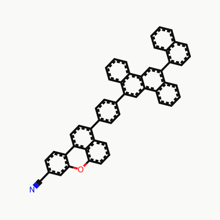 N#Cc1ccc2c(c1)Oc1cccc3c(-c4ccc(-c5cc6c7ccccc7c(-c7cccc8ccccc78)cc6c6ccccc56)cc4)ccc-2c13